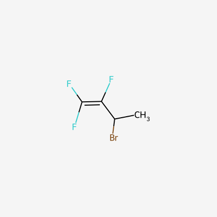 CC(Br)C(F)=C(F)F